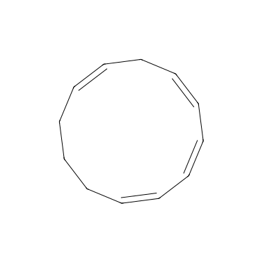 C1=CC=CCCCC=CCC=C1